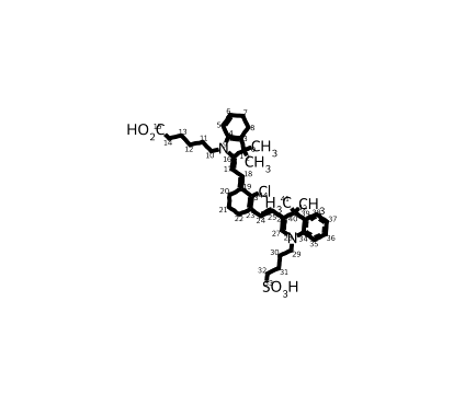 CC1(C)C2=C(C=CCC2)N(CCCCCC(=O)O)/C1=C/C=C1\CCCC(/C=C/C2=CN(CCCCS(=O)(=O)O)c3ccccc3C2(C)C)=C1Cl